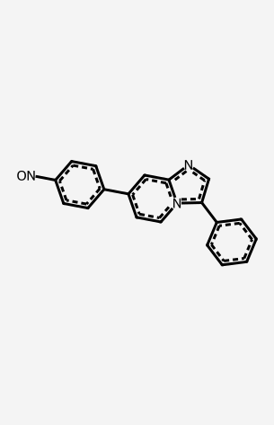 O=Nc1ccc(-c2ccn3c(-c4ccccc4)cnc3c2)cc1